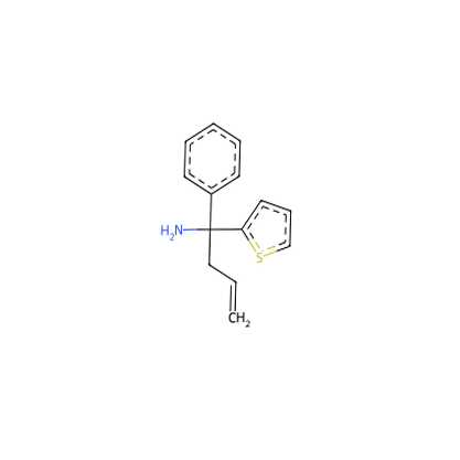 C=CCC(N)(c1ccccc1)c1cccs1